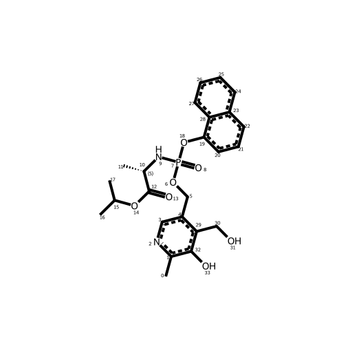 Cc1ncc(COP(=O)(N[C@@H](C)C(=O)OC(C)C)Oc2cccc3ccccc23)c(CO)c1O